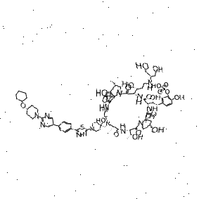 C[C@@H](O)[C@@H]1NC(=O)[C@H](C)N(CC2(C)CCN(c3nnc(-c4ccc(-c5cnc(N6CCC(OC7CCCCC7)CC6)nc5)cc4)s3)CC2)[C@@H](O)CNC(=O)[C@@H]2[C@@H](O)[C@@H](C)CN2C(=O)[C@H]([C@H](O)CCNC(CO)CO)NC(=O)[C@H]([C@H](O)Cc2ccc(O)c(OS(=O)(=O)O)c2)NC(=O)[C@@H]2C[C@@H](O)CN2C1=O